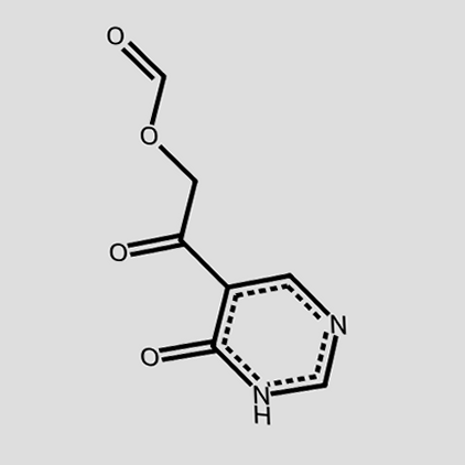 O=COCC(=O)c1cnc[nH]c1=O